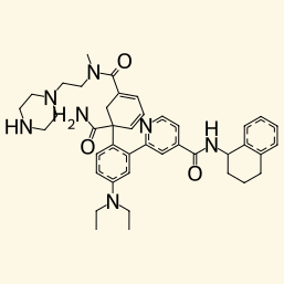 CCN(CC)c1ccc(C2(C(N)=O)C=CC=C(C(=O)N(C)CCN3CCNCC3)C2)c(-c2cc(C(=O)NC3CCCc4ccccc43)ccn2)c1